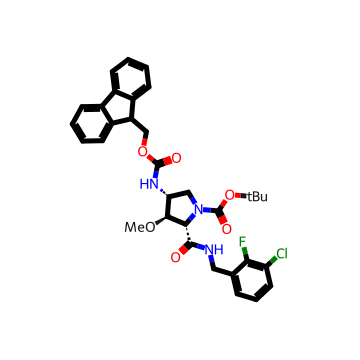 CO[C@@H]1[C@@H](C(=O)NCc2cccc(Cl)c2F)N(C(=O)OC(C)(C)C)C[C@H]1NC(=O)OCC1c2ccccc2-c2ccccc21